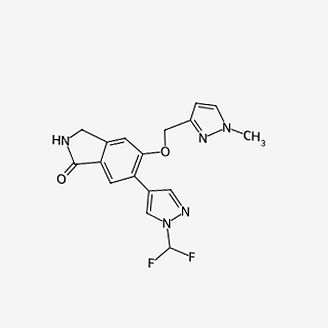 Cn1ccc(COc2cc3c(cc2-c2cnn(C(F)F)c2)C(=O)NC3)n1